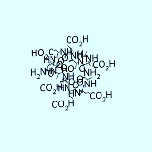 C=C(C)N[C@H](CC(=O)O)C(=O)NC(CO)C(=C)N[C@H](CCC(=O)O)C(=O)NC(CC(=O)O)C(=O)N[C@H](CC(N)=O)C(=O)NC(C)C(=O)N[C@H](CC(=O)O)C(=O)NC(CCC(=O)O)C(=O)N[C@H](CCC(=O)O)C(=O)NC(C)C(N)=O